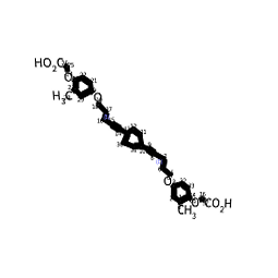 Cc1cc(OC/C=C/C#Cc2ccc(C#C/C=C/COc3ccc(OCC(=O)O)c(C)c3)cc2)ccc1OCC(=O)O